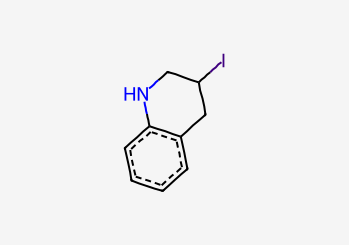 IC1CNc2ccccc2C1